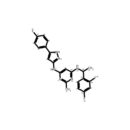 Cc1nc(Nc2cc(-c3ccc(F)cc3)[nH]n2)cc(NC(C)c2ccc(F)cc2F)n1